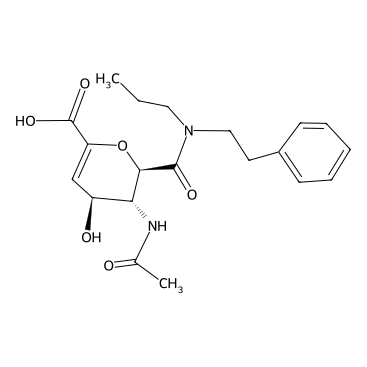 CCCN(CCc1ccccc1)C(=O)[C@@H]1OC(C(=O)O)=C[C@H](O)[C@H]1NC(C)=O